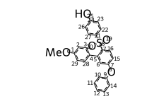 COc1ccc(-c2cc(Oc3ccccc3)ccc2S(=O)(=O)c2ccc(O)cc2)cc1